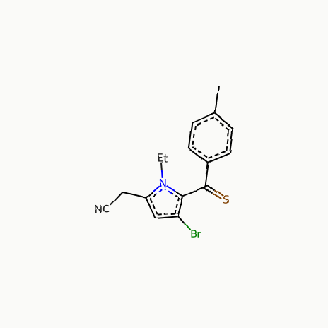 CCn1c(CC#N)cc(Br)c1C(=S)c1ccc(C)cc1